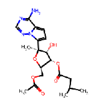 CC(=O)OC[C@H]1O[C@@](C)(c2ccc3c(N)ncnn23)[C@H](O)[C@@H]1OC(=O)CC(C)C